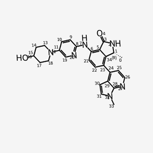 C[C@H]1NC(=O)c2c(Nc3ccc(N4CCC(O)CC4)cn3)ccc(-c3ccnc4c3ccn4C)c21